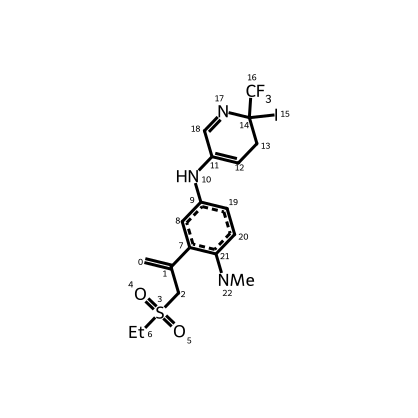 C=C(CS(=O)(=O)CC)c1cc(NC2=CCC(I)(C(F)(F)F)N=C2)ccc1NC